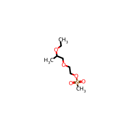 CCOC(C)COCCOS(C)(=O)=O